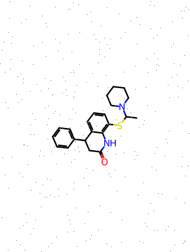 CC(Sc1cccc2c1NC(=O)CC2c1ccccc1)N1CCCCC1